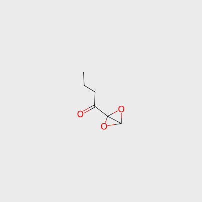 CCCC(=O)C12OC1O2